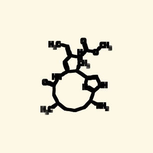 C/C=C(\C=C1\NC(=O)C[C@H](C)CCC[C@H](N)c2nc(c[nH]2)[C@@H]1C)NC(=O)OC